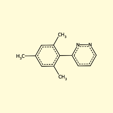 Cc1cc(C)c(-c2cccnn2)c(C)c1